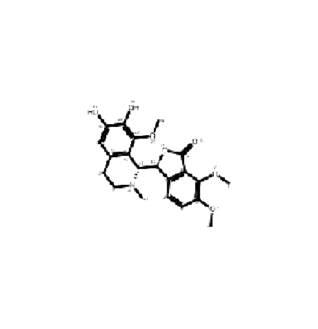 COc1ccc2c(c1OC)C(=O)O[C@@H]2[C@H]1c2c(cc(O)c(O)c2OC)CCN1C